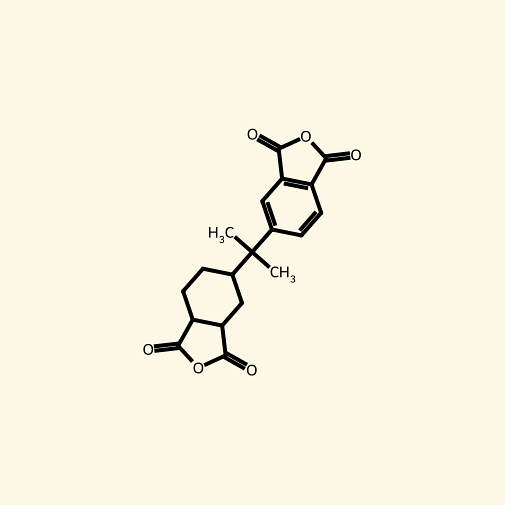 CC(C)(c1ccc2c(c1)C(=O)OC2=O)C1CCC2C(=O)OC(=O)C2C1